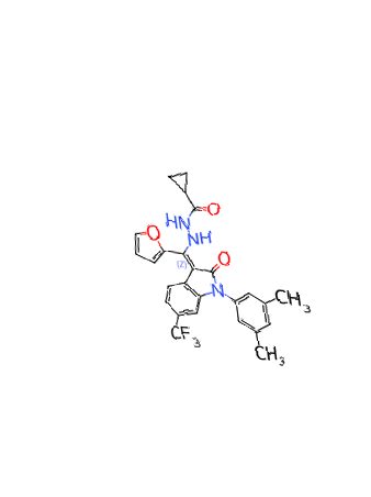 Cc1cc(C)cc(N2C(=O)/C(=C(\NNC(=O)C3CC3)c3ccco3)c3ccc(C(F)(F)F)cc32)c1